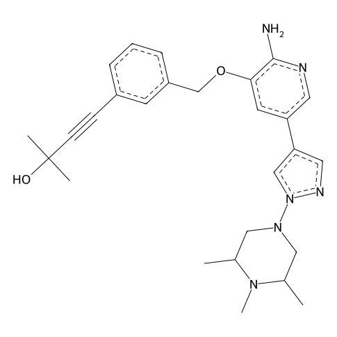 CC1CN(n2cc(-c3cnc(N)c(OCc4cccc(C#CC(C)(C)O)c4)c3)cn2)CC(C)N1C